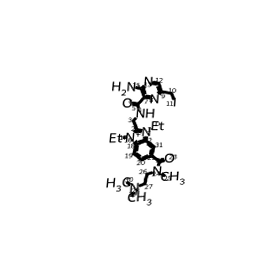 CCn1c(CNC(=O)c2nc(CI)cnc2N)[n+](CC)c2ccc(C(=O)N(C)CCN(C)C)cc21